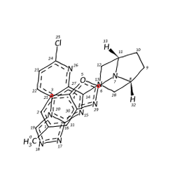 Cc1ccc2oc(N3[C@@H]4CC[C@H]3CN(c3nc5nncn5c5ccc(Cl)nc35)C4)nc2c1